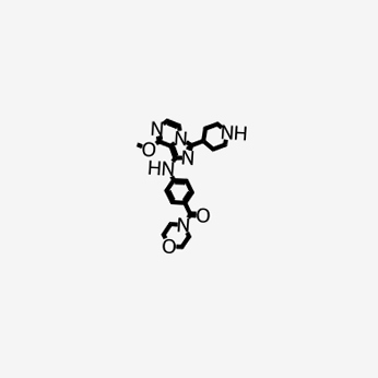 COc1nccn2c(C3CCNCC3)nc(Nc3ccc(C(=O)N4CCOCC4)cc3)c12